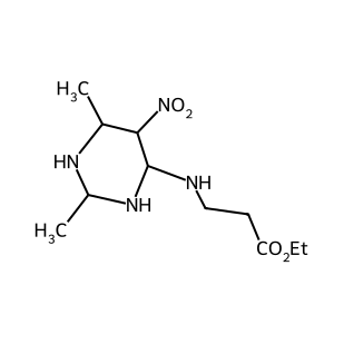 CCOC(=O)CCNC1NC(C)NC(C)C1[N+](=O)[O-]